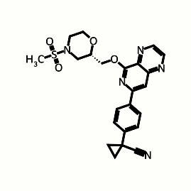 CS(=O)(=O)N1CCO[C@H](COc2nc(-c3ccc(C4(C#N)CC4)cc3)cc3nccnc23)C1